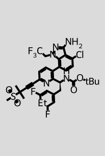 CC/C(F)=C\C(=C/CF)C[C@H](NC(=O)OC(C)(C)C)c1nc(C#CC(C)(C)S(C)(=O)=O)ccc1-c1ccc(Cl)c2c(N)nn(CC(F)(F)F)c12